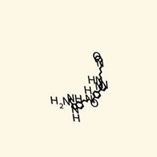 N=C(N)c1c[nH]c2ccc(CCNC(=O)c3ccc(-c4ccnc(NCCCCCN5CCOCC5)n4)cc3)cc12